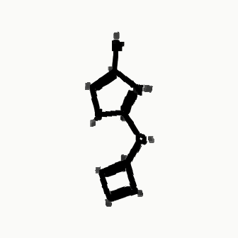 Brc1csc(OC2=CC=C2)n1